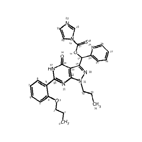 CCCOc1ccccc1-c1nc2c(c(C(OC(=S)n3ccnc3)c3ccccn3)nn2CCC)c(=O)[nH]1